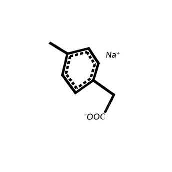 Cc1ccc(CC(=O)[O-])cc1.[Na+]